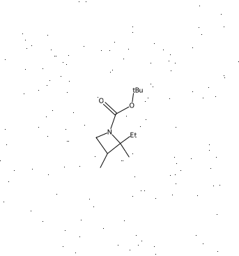 CCC1(C)C(C)CN1C(=O)OC(C)(C)C